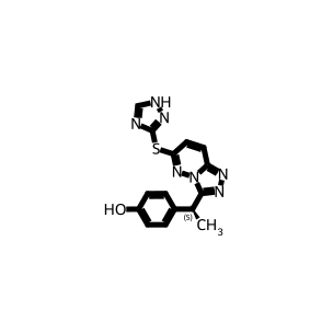 C[C@@H](c1ccc(O)cc1)c1nnc2ccc(Sc3nc[nH]n3)nn12